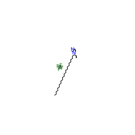 C=CC(CCCCCCCCCCCCCCCCCCCCCCC)n1ccnc1.F[B-](F)(F)F